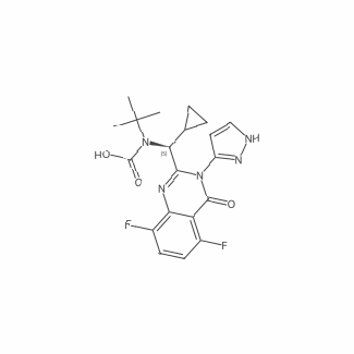 CC(C)(C)N(C(=O)O)[C@H](c1nc2c(F)ccc(F)c2c(=O)n1-c1cc[nH]n1)C1CC1